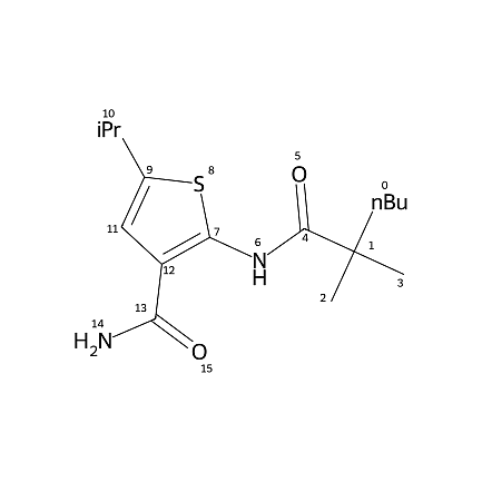 CCCCC(C)(C)C(=O)Nc1sc(C(C)C)cc1C(N)=O